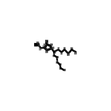 CCCCCCC(CCCCCC)c1c[nH]c(CO)c1